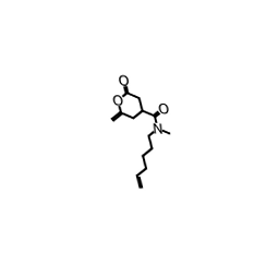 C=CCCCCN(C)C(=O)C1CC(=C)OC(=O)C1